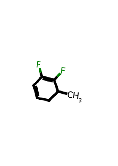 CC1CC=CC(F)=C1F